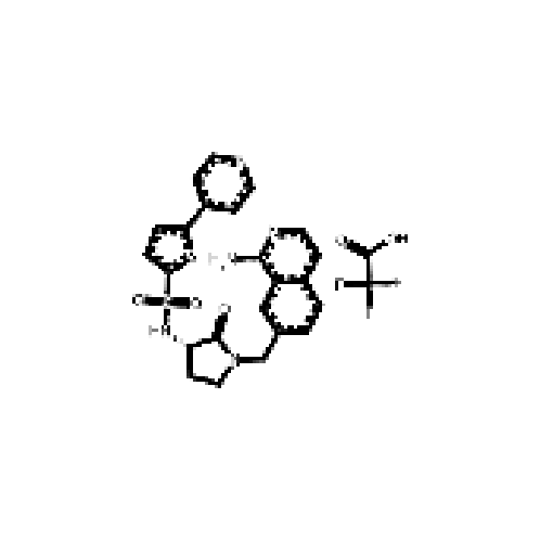 Nc1nccc2ccc(CN3CC[C@H](NS(=O)(=O)c4ccc(-c5ccncc5)s4)C3=O)cc12.O=C(O)C(F)(F)F